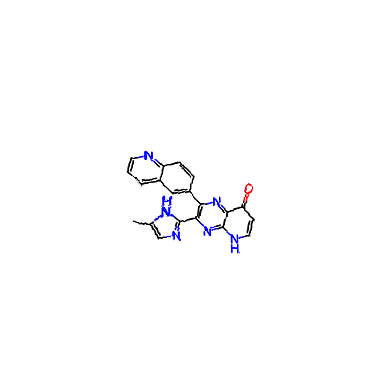 Cc1cnc(-c2nc3[nH]ccc(=O)c3nc2-c2ccc3ncccc3c2)[nH]1